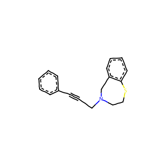 C(#Cc1ccccc1)CN1CCSc2ccccc2C1